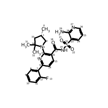 C[C@@H]1CN(c2nc(-c3ccccc3F)ccc2C(=O)NS(=O)(=O)c2cccnc2N)C(C)(C)C1